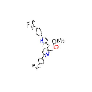 COC(=O)C(c1ccc(-c2ccc(C(F)(F)F)cc2)nc1C)c1ccc(-c2ccc(C(F)(F)F)cc2)nc1C